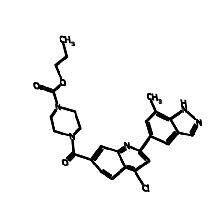 CCCOC(=O)N1CCN(C(=O)c2ccc3c(Cl)cc(-c4cc(C)c5[nH]ncc5c4)nc3c2)CC1